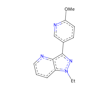 CCn1nc(-c2ccc(OC)nc2)c2ncccc21